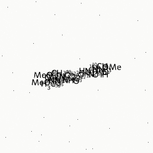 COC(=O)N[C@H](C(=O)N1[C@@H](C)CC[C@H]1c1ncc(-c2ccc3c(c2)COc2cc4c(ccc5nc([C@@H]6CC[C@H](C)N6C(=O)[C@@H](NC(=O)OC)[C@H](C)OC)[nH]c54)cc2-3)[nH]1)C(C)C